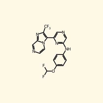 FC(F)Oc1ccc(Nc2cncc(-c3c(C(F)(F)F)nc4cnccn34)n2)cc1